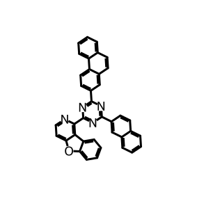 c1ccc2cc(-c3nc(-c4ccc5c(ccc6ccccc65)c4)nc(-c4nccc5oc6ccccc6c45)n3)ccc2c1